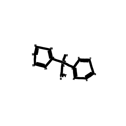 CCC[N+](C)(c1ccccc1)c1ccccc1